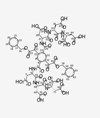 O=C(O)CC(NC(=O)c1cc(C(=O)C(=O)OCc2ccccc2)c(C(=O)NC(CC(=O)O)C(=O)N[C@@H](CC(=O)O)C(=O)N[C@@H](CC(=O)O)C(=O)O)cc1C(=O)C(=O)OCc1ccccc1)C(=O)N[C@@H](CC(=O)O)C(=O)N[C@@H](CC(=O)O)C(=O)O